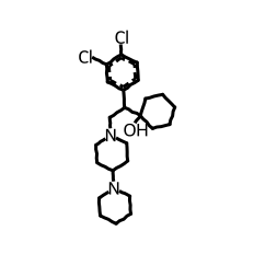 OC1(C(CN2CCC(N3CCCCC3)CC2)c2ccc(Cl)c(Cl)c2)CCCCC1